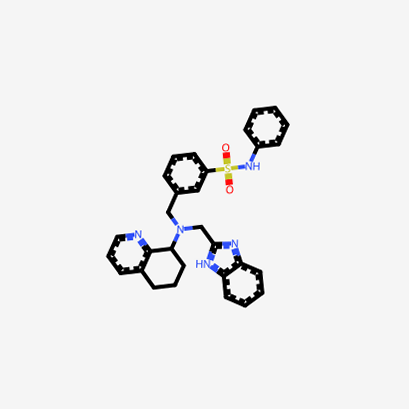 O=S(=O)(Nc1ccccc1)c1cccc(CN(Cc2nc3ccccc3[nH]2)C2CCCc3cccnc32)c1